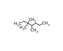 [CH2]CC(C)(C)C(C)CCC